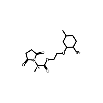 CC1CCC(C(C)C)C(OCCOC(=O)[C@@H](C)N2C(=O)CCC2=O)C1